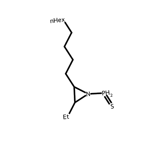 CCCCCCCCCCC1C(CC)N1[PH2]=S